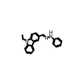 CCn1c2ccccc2c2cc(C=NNc3ccccc3)ccc21